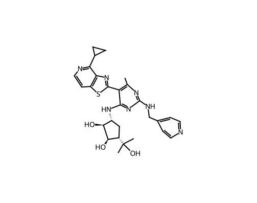 Cc1nc(NCc2ccncc2)nc(N[C@@H]2C[C@H](C(C)(C)O)[C@@H](O)[C@H]2O)c1-c1nc2c(C3CC3)nccc2s1